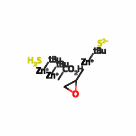 CC(=O)O.CC1CO1.C[C](C)(C)[Zn+].C[C](C)(C)[Zn+].C[C](C)(C)[Zn+].S.[S-2]